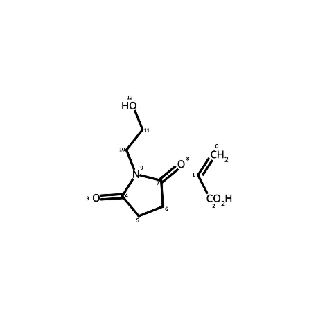 C=CC(=O)O.O=C1CCC(=O)N1CCO